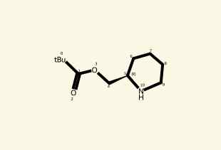 CC(C)(C)C(=O)OC[C@H]1CCCCN1